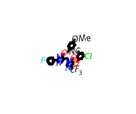 COc1ccc(COc2nc(-c3ccc(F)cc3)ncc2Cn2cnc(C(F)(F)F)c(Oc3cc(Cl)cc(C#N)c3)c2=O)cc1